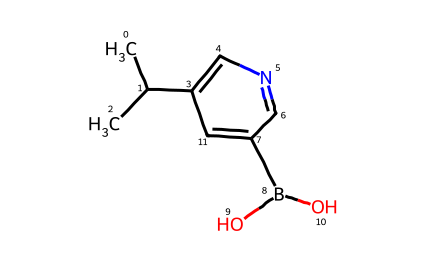 CC(C)c1cncc(B(O)O)c1